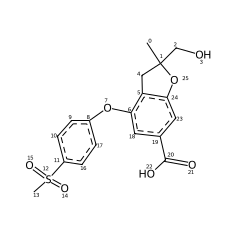 CC1(CO)Cc2c(Oc3ccc(S(C)(=O)=O)cc3)cc(C(=O)O)cc2O1